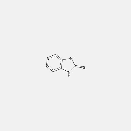 S=C1[N]c2ccccc2N1